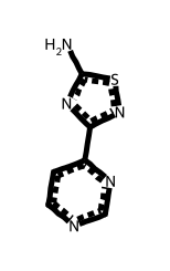 Nc1nc(-c2ccncn2)ns1